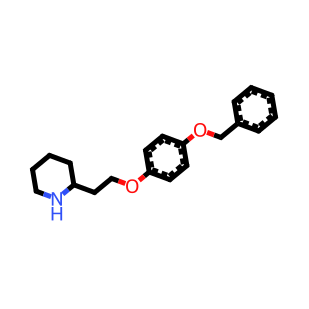 c1ccc(COc2ccc(OCCC3CCCCN3)cc2)cc1